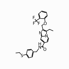 CCSc1ccc(CNC(=O)c2ccn3c(CC)c(COc4ccccc4C(F)(F)F)nc3c2)cc1